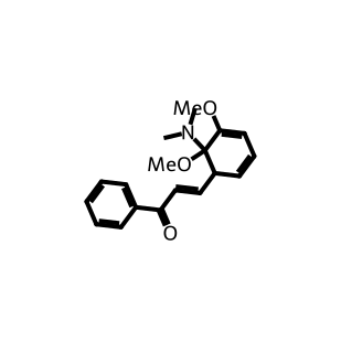 COC1=CC=CC(C=CC(=O)c2ccccc2)C1(OC)N(C)C